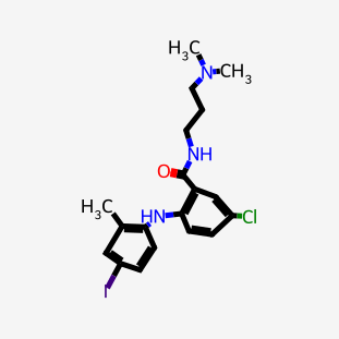 Cc1cc(I)ccc1Nc1ccc(Cl)cc1C(=O)NCCCN(C)C